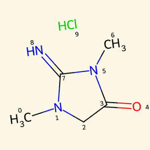 CN1CC(=O)N(C)C1=N.Cl